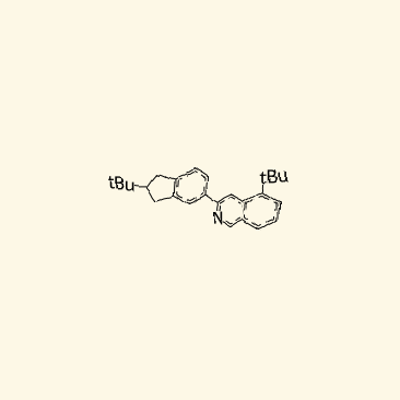 CC(C)(C)c1cccc2cnc(-c3ccc4c(c3)CC(C(C)(C)C)C4)cc12